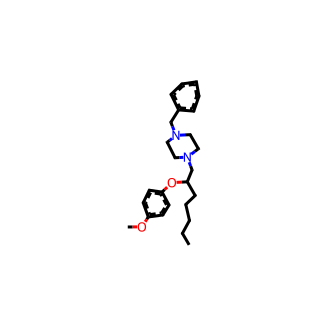 CCCCCC(CN1CCN(Cc2ccccc2)CC1)Oc1ccc(OC)cc1